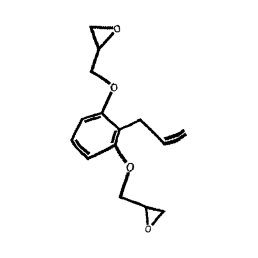 C=CCc1c(OCC2CO2)cccc1OCC1CO1